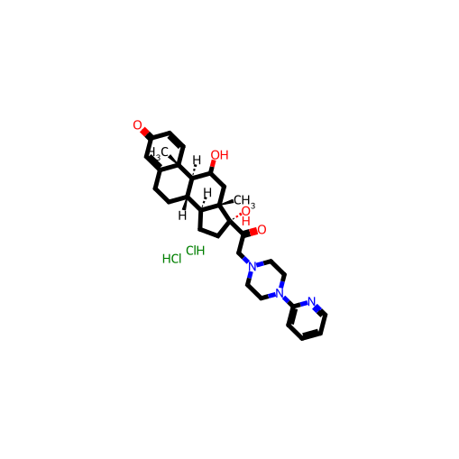 C[C@]12C=CC(=O)C=C1CC[C@@H]1[C@@H]2C(O)C[C@@]2(C)[C@H]1CC[C@]2(O)C(=O)CN1CCN(c2ccccn2)CC1.Cl.Cl